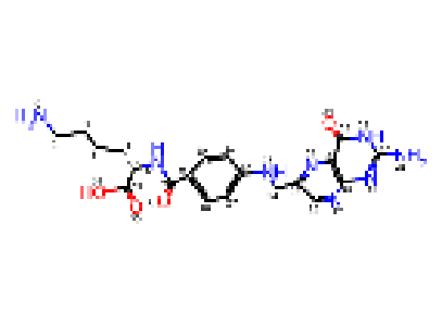 NCCCC[C@H](NC(=O)c1ccc(NCc2cnc3nc(N)[nH]c(=O)c3n2)cc1)C(=O)O